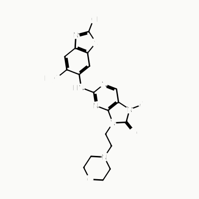 Cc1nc2cc(C)c(Nc3ncc4c(n3)n(CCN3CCOCC3)c(=O)n4C)cc2s1